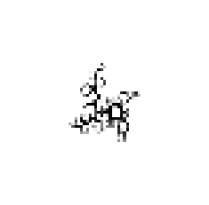 CCOC(=O)CC(C)N(C(=O)OCC)c1cc(OC)cc(OC)c1